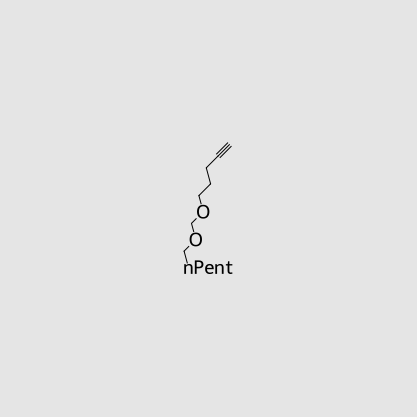 C#CCCCOCOCCCCCC